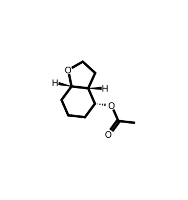 CC(=O)O[C@@H]1CCC[C@@H]2OCC[C@@H]21